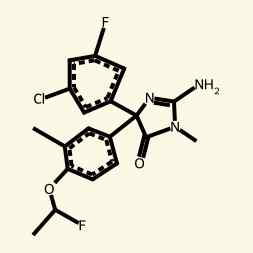 Cc1cc(C2(c3cc(F)cc(Cl)c3)N=C(N)N(C)C2=O)ccc1OC(C)F